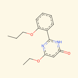 CCCOc1ccccc1-c1nc(OCC)cc(=O)[nH]1